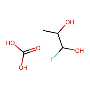 CC(O)C(O)F.O=C(O)O